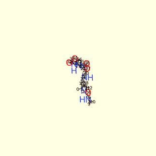 Cc1nc(OCCNC(C)C)c(C)c2c1CC(CNCCC1CN(c3ccc4c(n3)NC(=O)CO4)C(=O)O1)C2